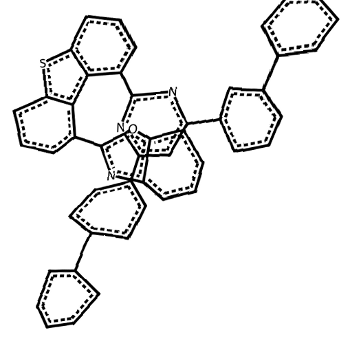 c1ccc(-c2ccc(-c3cc(-c4cccc(-c5ccccc5)c4)nc(-c4cccc5sc6cccc(-c7nc8ccccc8o7)c6c45)n3)cc2)cc1